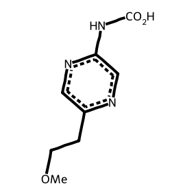 COCCc1cnc(NC(=O)O)cn1